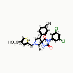 CCN1C(=O)N(c2cc(Cl)cc(Cl)c2)C(=O)C12CN(Cc1cc(C(=O)O)cs1)CC2c1ccc(C#N)cc1